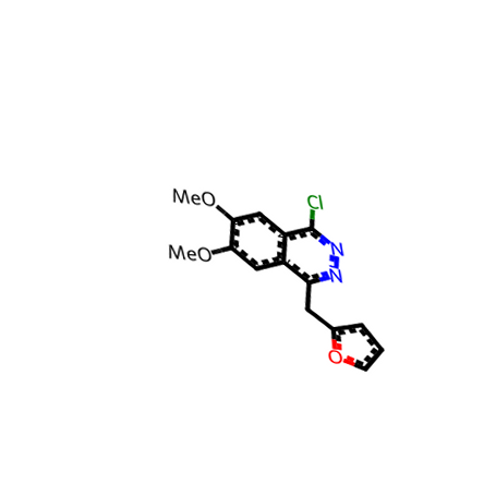 COc1cc2c(Cl)nnc(Cc3ccco3)c2cc1OC